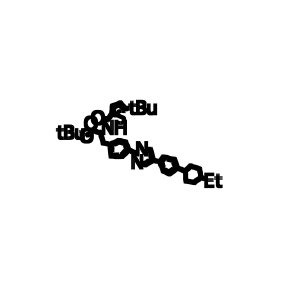 CCC1CCC(c2ccc(-c3cnc(-c4ccc(CC(NC(=O)c5ccc(C(C)(C)C)s5)C(=O)OC(C)(C)C)cc4)nc3)cc2)CC1